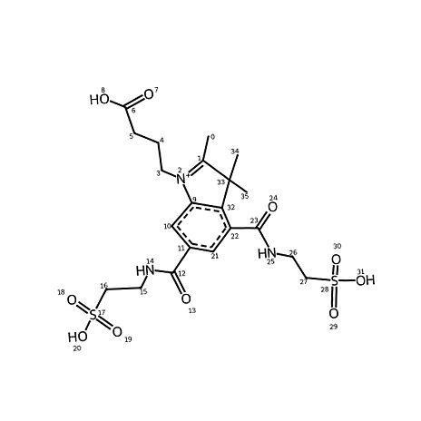 CC1=[N+](CCCC(=O)O)c2cc(C(=O)NCCS(=O)(=O)O)cc(C(=O)NCCS(=O)(=O)O)c2C1(C)C